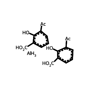 CC(=O)c1cccc(C(=O)O)c1O.CC(=O)c1cccc(C(=O)O)c1O.[AlH3]